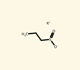 CCCS(=O)[O-].[K+]